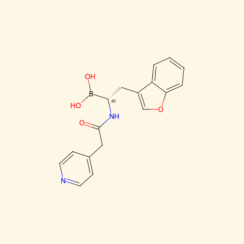 O=C(Cc1ccncc1)N[C@@H](Cc1coc2ccccc12)B(O)O